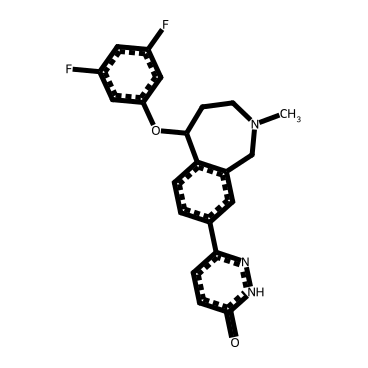 CN1CCC(Oc2cc(F)cc(F)c2)c2ccc(-c3ccc(=O)[nH]n3)cc2C1